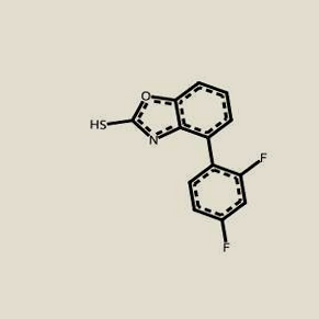 Fc1ccc(-c2cccc3oc(S)nc23)c(F)c1